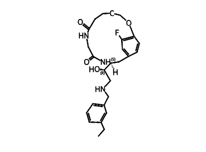 CCc1cccc(CNC[C@@H](O)[C@@H]2Cc3ccc(c(F)c3)OCCCCC(=O)NCC(=O)N2)c1